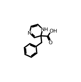 O=C(O)C1(Cc2ccccc2)C=NC=CN1